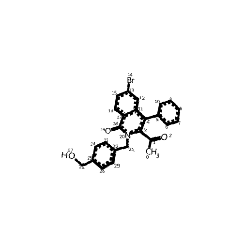 CC(=O)c1c(-c2ccccc2)c2cc(Br)ccc2c(=O)n1Cc1ccc(CO)cc1